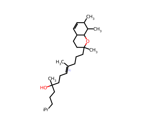 C/C(=C\CCC(C)(O)CCCC(C)C)CCCC1(C)CCC2C=CC(C)C(C)C2O1